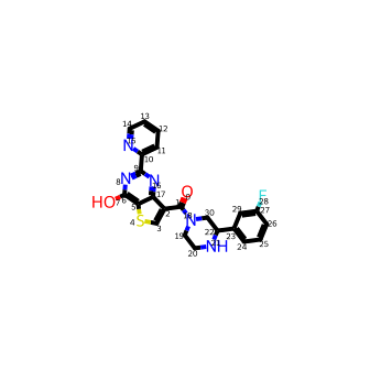 O=C(c1csc2c(O)nc(-c3ccccn3)nc12)N1CCNC(c2cccc(F)c2)C1